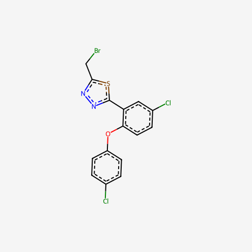 Clc1ccc(Oc2ccc(Cl)cc2-c2nnc(CBr)s2)cc1